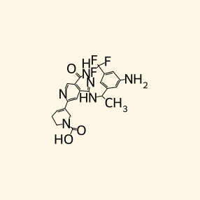 CC(Nc1n[nH]c(=O)c2cnc(C3=CCCN(C(=O)O)C3)cc12)c1cc(N)cc(C(F)(F)F)c1